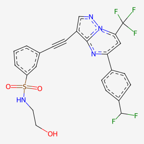 O=S(=O)(NCCO)c1cccc(C#Cc2cnn3c(C(F)(F)F)cc(-c4ccc(C(F)F)cc4)nc23)c1